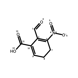 O=CC1=C([N+](=O)[O-])CCC=C1C(=O)O